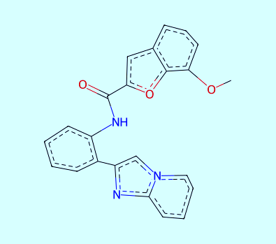 COc1cccc2cc(C(=O)Nc3ccccc3-c3cn4ccccc4n3)oc12